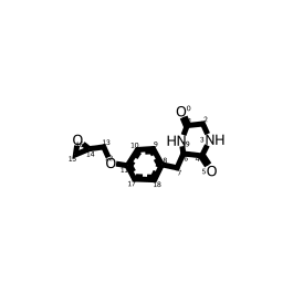 O=C1CNC(=O)C(Cc2ccc(OCC3CO3)cc2)N1